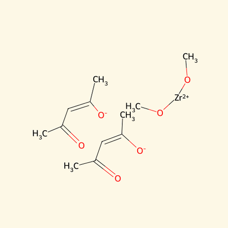 CC(=O)/C=C(/C)[O-].CC(=O)/C=C(/C)[O-].C[O][Zr+2][O]C